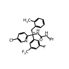 Cc1ccccc1C[C@@](NC(=O)NC(C)C)(c1cc(F)cc(C(F)(F)F)c1)c1ccc(Cl)cn1